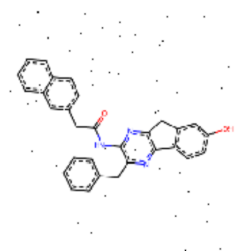 O=C(Cc1ccc2ccccc2c1)Nc1nc2c(nc1Cc1ccccc1)-c1ccc(O)cc1C2